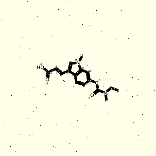 CCN(C)C(=O)Oc1ccc2c(/C=C/C(=O)O)cn(C)c2c1